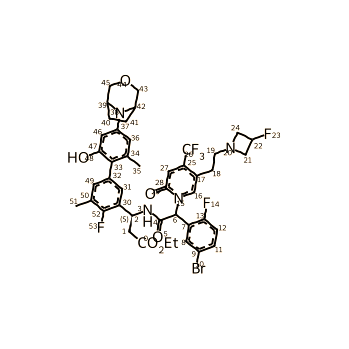 CCOC(=O)C[C@H](NC(=O)C(c1cc(Br)ccc1F)n1cc(CCN2CC(F)C2)c(C(F)(F)F)cc1=O)c1cc(-c2c(C)cc(N3C4CCC3COC4)cc2O)cc(C)c1F